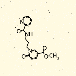 COC(=O)c1ccc(=O)n(CCCNC(=O)c2ccccn2)c1